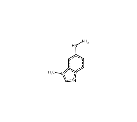 Cn1cnc2ccc(NN)cc21